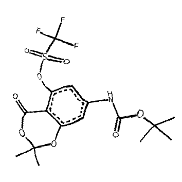 CC(C)(C)OC(=O)Nc1cc2c(c(OS(=O)(=O)C(F)(F)F)c1)C(=O)OC(C)(C)O2